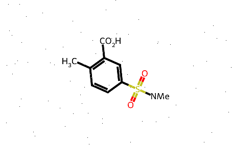 CNS(=O)(=O)c1ccc(C)c(C(=O)O)c1